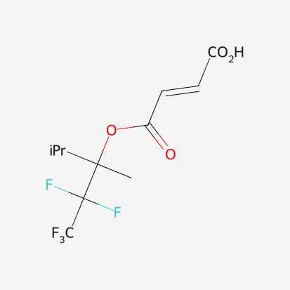 CC(C)C(C)(OC(=O)C=CC(=O)O)C(F)(F)C(F)(F)F